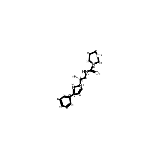 O=C(NC[C@@H](F)n1ccc(-c2ccccc2)n1)N1CCCCC1